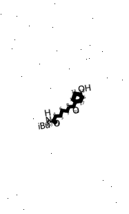 CC[C@H](C)NC(=O)CCCCCC(=O)c1ccc(O)cc1